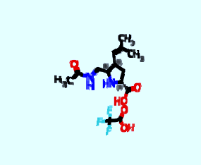 CC(=O)NC[C@@H]1N[C@@H](C(=O)O)C[C@@H]1C=C(C)C.O=C(O)C(F)(F)F